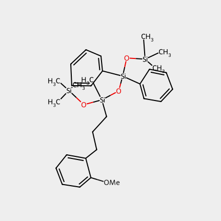 COc1ccccc1CCC[Si](C)(O[Si](C)(C)C)O[Si](O[Si](C)(C)C)(c1ccccc1)c1ccccc1